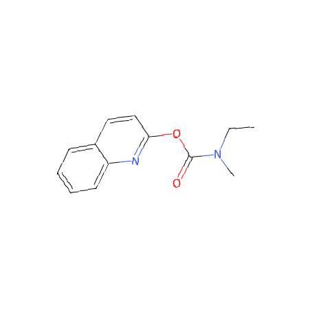 CCN(C)C(=O)Oc1ccc2ccccc2n1